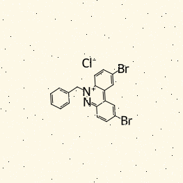 Brc1ccc2n[n+](Cc3ccccc3)c3ccc(Br)cc3c2c1.[Cl-]